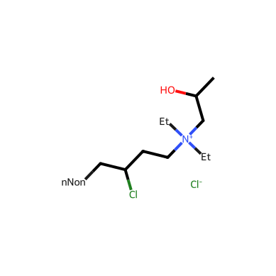 CCCCCCCCCCC(Cl)CC[N+](CC)(CC)CC(C)O.[Cl-]